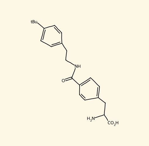 CC(C)(C)c1ccc(CCNC(=O)c2ccc(CC(N)C(=O)O)cc2)cc1